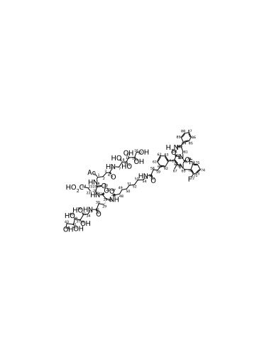 CC(=O)[C@@H](CCC(=O)NC[C@H](O)[C@@H](O)[C@H](O)[C@H](O)CO)NC(=O)[C@@H](CCC(=O)O)NC(=O)[C@@H](CCC(=O)NC[C@H](O)[C@@H](O)[C@H](O)[C@H](O)CO)NC(=O)CCCCCCCNC(=O)CCc1cccc(-c2c(C)n(Cc3c(F)cccc3F)c(=O)n(C[C@@H](N)c3ccccc3)c2=O)c1